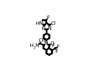 C[C@H](N)c1cc2cccc(C(F)(F)F)c2c(=O)n1-c1ccc(-c2nc(Cl)c3c(F)c[nH]c3n2)cc1